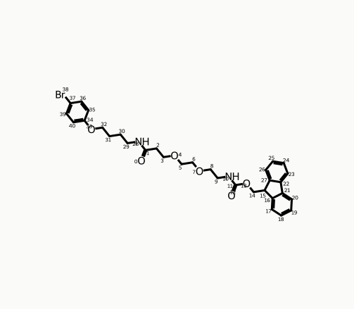 O=C(CCOCCOCCNC(=O)OCC1c2ccccc2-c2ccccc21)NCCCCOc1ccc(Br)cc1